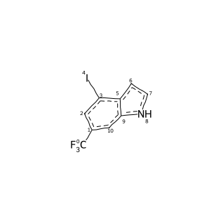 FC(F)(F)c1cc(I)c2cc[nH]c2c1